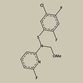 COCN(Sc1cc(Cl)c(F)cc1F)c1cccc(F)n1